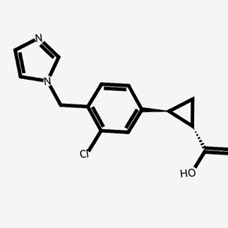 O=C(O)[C@H]1C[C@@H]1c1ccc(Cn2ccnc2)c(Cl)c1